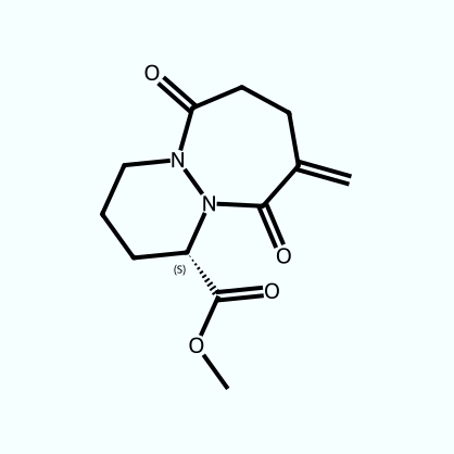 C=C1CCC(=O)N2CCC[C@@H](C(=O)OC)N2C1=O